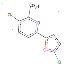 O=C(O)c1nc(-c2ccc(Cl)o2)ccc1Cl